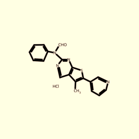 Cc1c(-c2cccnc2)sc2nc(N(C=O)c3ccccc3)ncc12.Cl